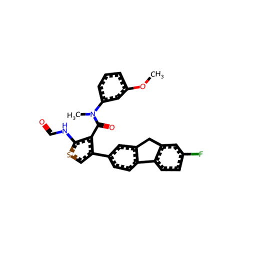 COc1cccc(N(C)C(=O)c2c(-c3ccc4c(c3)Cc3cc(F)ccc3-4)csc2NC=O)c1